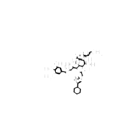 CCCC(C)(C)O[C@]1(C(=O)O)C[C@@H](O)C(NC(=O)Cn2cc(C3CCCCC3)nn2)C(C[C@H](O)CNC(=O)c2cc(C)c(O)c(C)c2)O1